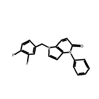 O=c1ccc2c(ccn2Cc2ccc(F)c(F)c2)n1-c1ccccc1